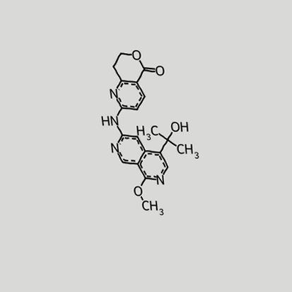 COc1ncc(C(C)(C)O)c2cc(Nc3ccc4c(n3)CCOC4=O)ncc12